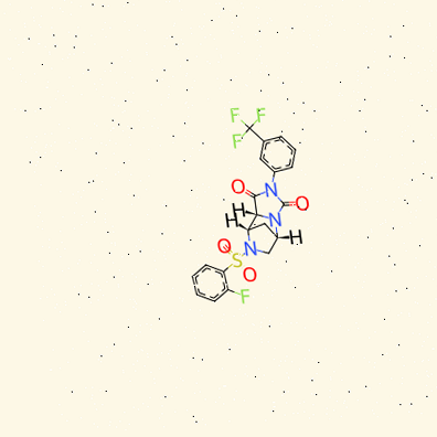 O=C1[C@H]2[C@@H]3C[C@@H](CN3S(=O)(=O)c3ccccc3F)N2C(=O)N1c1cccc(C(F)(F)F)c1